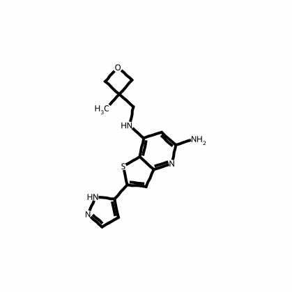 CC1(CNc2cc(N)nc3cc(-c4ccn[nH]4)sc23)COC1